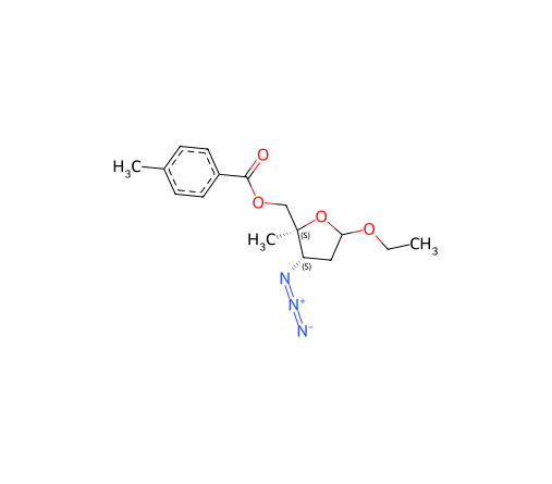 CCOC1C[C@H](N=[N+]=[N-])[C@@](C)(COC(=O)c2ccc(C)cc2)O1